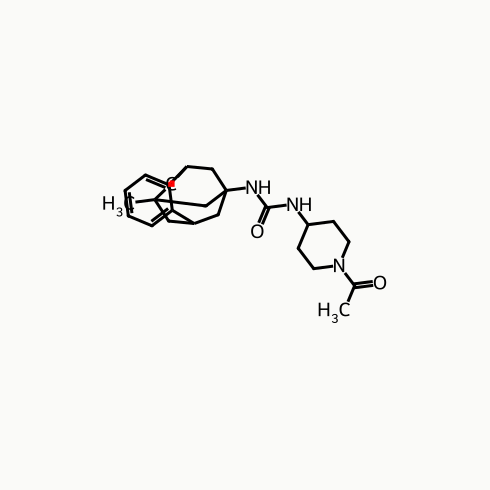 CC(=O)N1CCC(NC(=O)NC23CC4CC(C)(CC(C2)c2ccccc24)C3)CC1